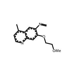 C=Nc1cc2c(C)ccnc2cc1OCCOC